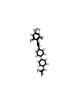 CCCc1cc(F)c(C#CC2CCC([C@H]3CC[C@H](C=C(F)F)CC3)CC2)c(F)c1